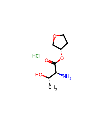 C[C@H](O)[C@H](N)C(=O)O[C@H]1CCOC1.Cl